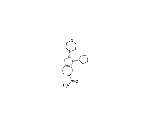 NC(=O)C1CCC2=C(C1)N(C1CCCC1)N(N1CCOCC1)C2